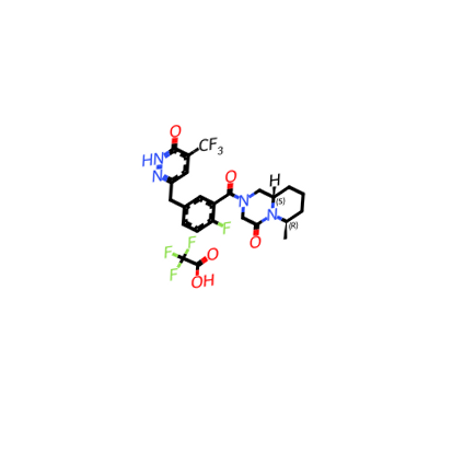 C[C@@H]1CCC[C@H]2CN(C(=O)c3cc(Cc4cc(C(F)(F)F)c(=O)[nH]n4)ccc3F)CC(=O)N21.O=C(O)C(F)(F)F